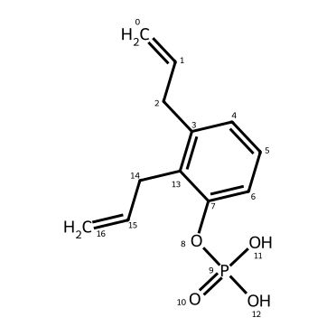 C=CCc1cccc(OP(=O)(O)O)c1CC=C